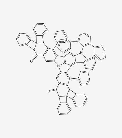 O=C1c2cc3c(c(-c4ccccc4)c2C2c4ccccc4C24c2ccccc2C14)c1cc2c(c4ccccc4n2-c2c(-c4ccccc4)cccc2-c2ccccc2)c2c4c(-c5ccccc5)c5c(cc4n3c12)C(=O)C1c2ccccc2C12c1ccccc1C52